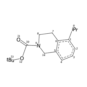 CC(C)c1cccc2c1CCN(C(=O)OC(C)(C)C)C2